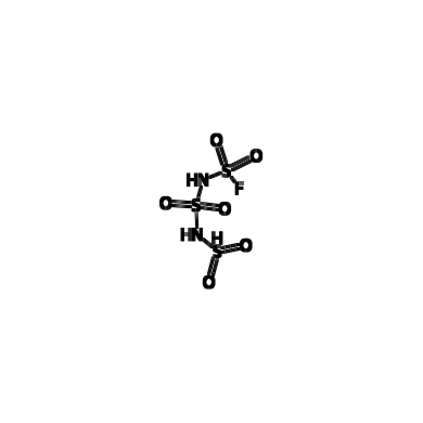 O=[SH](=O)NS(=O)(=O)NS(=O)(=O)F